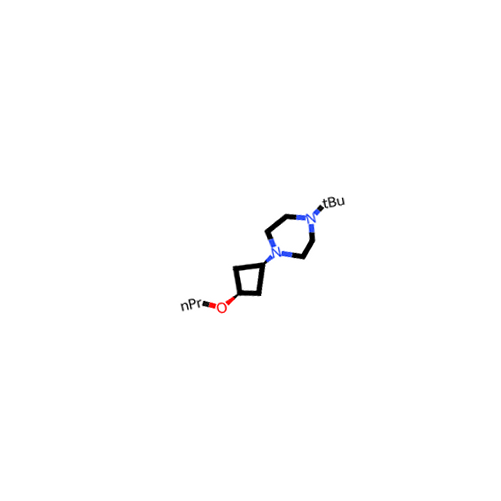 CCCO[C@H]1C[C@@H](N2CCN(C(C)(C)C)CC2)C1